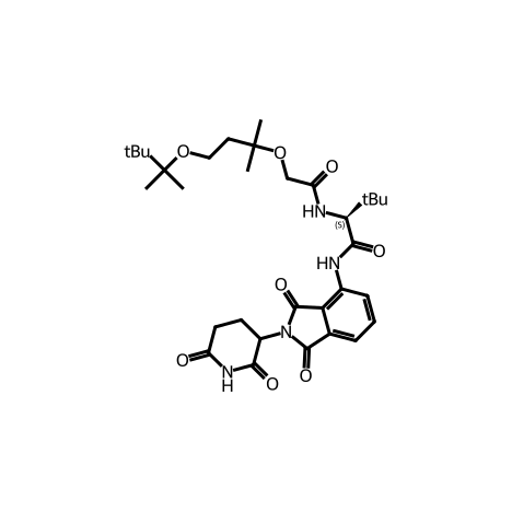 CC(C)(CCOC(C)(C)C(C)(C)C)OCC(=O)N[C@H](C(=O)Nc1cccc2c1C(=O)N(C1CCC(=O)NC1=O)C2=O)C(C)(C)C